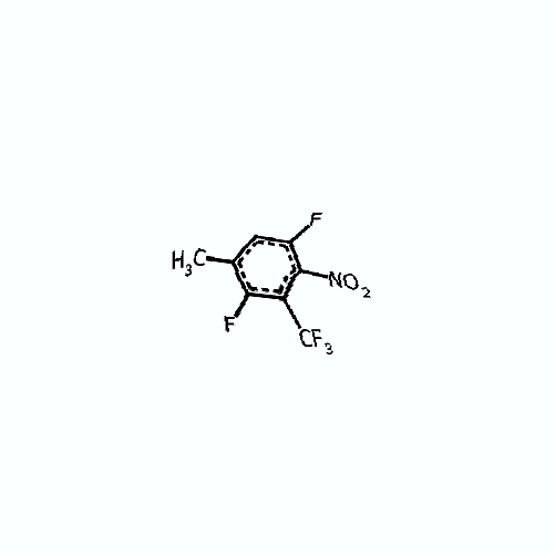 Cc1cc(F)c([N+](=O)[O-])c(C(F)(F)F)c1F